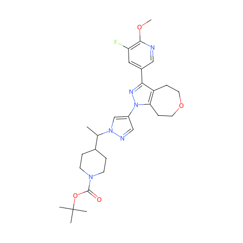 COc1ncc(-c2nn(-c3cnn(C(C)C4CCN(C(=O)OC(C)(C)C)CC4)c3)c3c2CCOCC3)cc1F